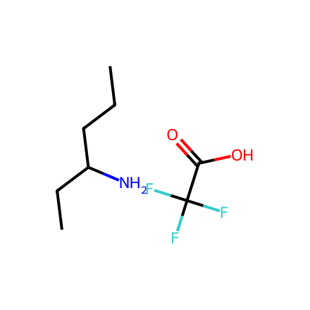 CCCC(N)CC.O=C(O)C(F)(F)F